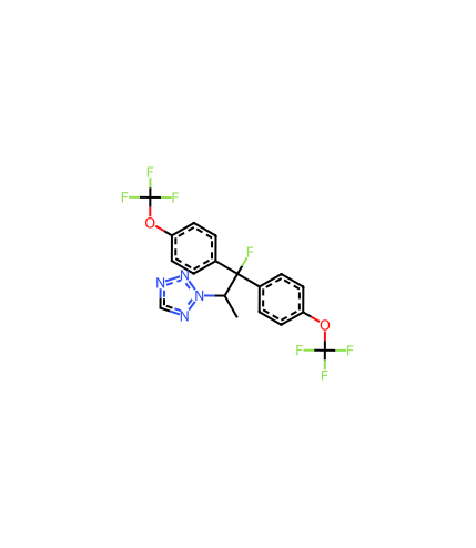 CC(n1ncnn1)C(F)(c1ccc(OC(F)(F)F)cc1)c1ccc(OC(F)(F)F)cc1